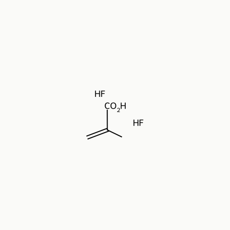 C=C(C)C(=O)O.F.F